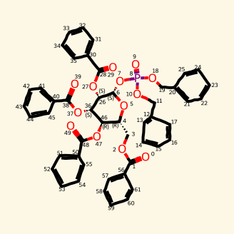 O=C(OC[C@H]1O[C@@H](OP(=O)(OCc2ccccc2)OCc2ccccc2)[C@@H](OC(=O)c2ccccc2)[C@@H](OC(=O)c2ccccc2)[C@@H]1OC(=O)c1ccccc1)c1ccccc1